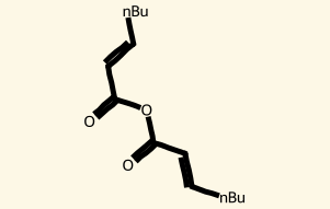 CCCCC=CC(=O)OC(=O)C=CCCCC